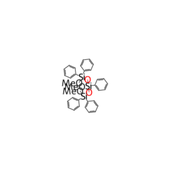 CO[Si](O[Si](OC)(c1ccccc1)c1ccccc1)(O[Si](OC)(c1ccccc1)c1ccccc1)c1ccccc1